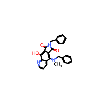 CN(Cc1ccccc1)c1c2c(c(O)c3ncccc13)C(=O)N(Cc1ccccc1)C2=O